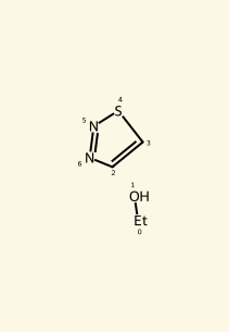 CCO.c1csnn1